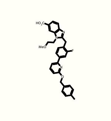 COCCn1c(Cc2ccc(-c3cccc(OCc4ccc(C)cc4)n3)cc2F)nc2ccc(C(=O)O)cc21